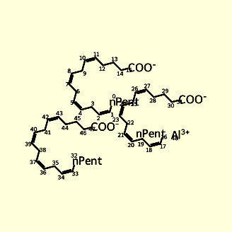 CCCCC/C=C\C/C=C\C/C=C\C/C=C\CCCC(=O)[O-].CCCCC/C=C\C/C=C\C/C=C\C/C=C\CCCC(=O)[O-].CCCCC/C=C\C/C=C\C/C=C\C/C=C\CCCC(=O)[O-].[Al+3]